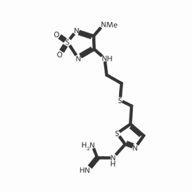 CNC1=NS(=O)(=O)N=C1NCCSCc1cnc(NC(=N)N)s1